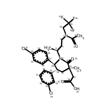 CC(=O)N(CC[C@H](C)N1C(=O)[C@@](C)(CC(=O)O)C[C@H](c2cccc(Cl)c2)[C@H]1c1ccc(Cl)cc1)CC(F)(F)F